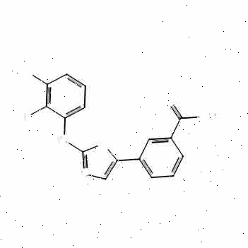 COC(=O)c1cccc(-c2cnc(Nc3cccc(F)c3F)o2)c1